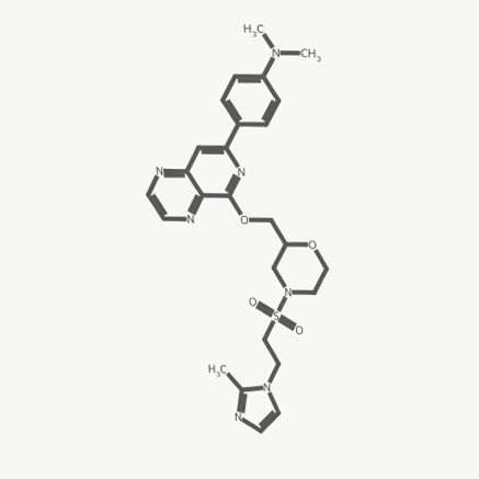 Cc1nccn1CCS(=O)(=O)N1CCOC(COc2nc(-c3ccc(N(C)C)cc3)cc3nccnc23)C1